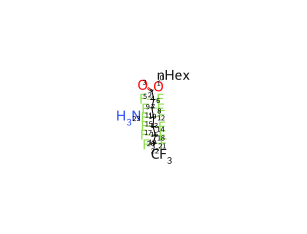 CCCCCCOC(=O)C(F)(F)C(F)(F)C(F)(F)C(F)(F)C(F)(F)C(F)(F)C(F)(F)F.N